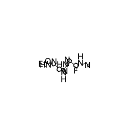 CCC(=O)Nc1cncc(-c2ccc3[nH]nc(-c4cc5c(-c6cc(F)cc(NCCN(C)C)c6)ccnc5[nH]4)c3c2)c1